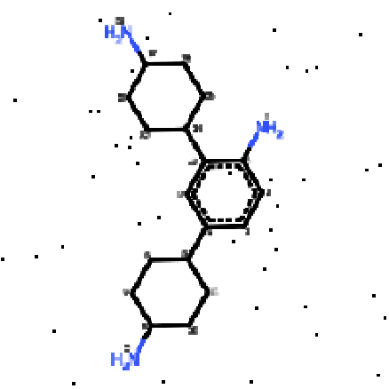 Nc1ccc(C2CCC(N)CC2)cc1C1CCC(N)CC1